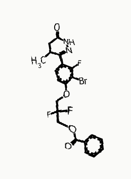 CC1CC(=O)NN=C1c1ccc(OCC(F)(F)COC(=O)c2ccccc2)c(Br)c1F